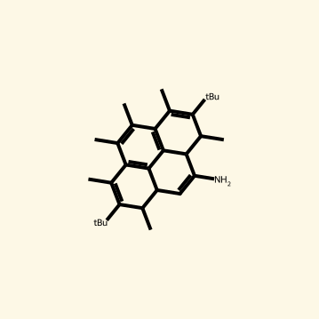 CC1=C(C(C)(C)C)C(C)C2C=C(N)C3c4c(c(C)c(C)c1c42)C(C)=C(C(C)(C)C)C3C